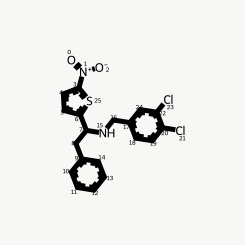 O=[N+]([O-])c1ccc(C(Cc2ccccc2)NCc2ccc(Cl)c(Cl)c2)s1